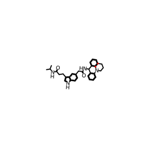 CC(C)NC(=O)CCc1c[nH]c2ccc(CC(=O)NC(c3ccccc3)c3ccccc3N3CCCCC3)cc12